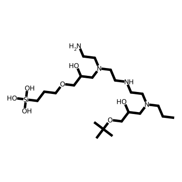 CCCN(CCNCCN(CCN)CC(O)COCCC[Si](O)(O)O)CC(O)COC(C)(C)C